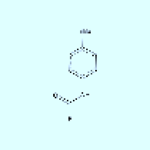 CCCCc1ccc(NC(=O)CC)cc1